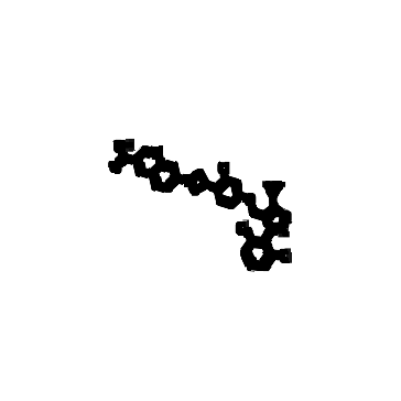 O=C(O)c1cnc2cc(N3CC(c4ccc(OCc5c(-c6c(Cl)cccc6Cl)noc5C5CC5)cc4Cl)C3)ccc2c1